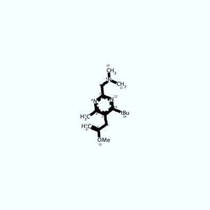 C=C(Cc1c(C)nc(CN(C)C)nc1C(C)(C)C)OC